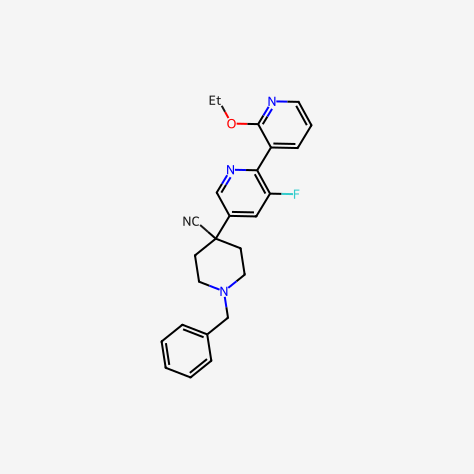 CCOc1ncccc1-c1ncc(C2(C#N)CCN(Cc3ccccc3)CC2)cc1F